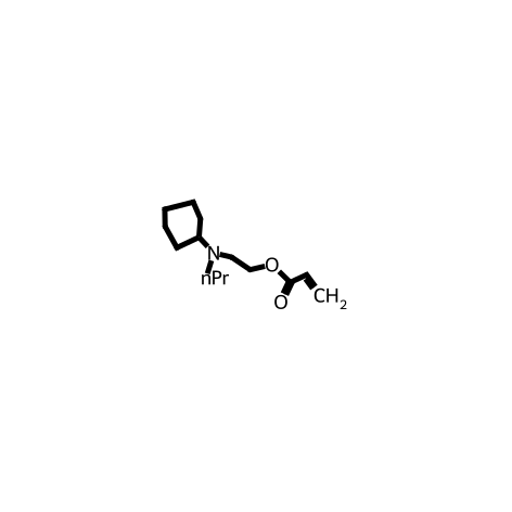 C=CC(=O)OCCN(CCC)C1CCCCC1